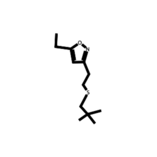 CCc1cc(CCSCC(C)(C)C)no1